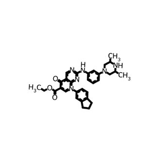 CCOC(=O)c1cn(-c2ccc3c(c2)CCC3)c2nc(Nc3cccc(N4CC(C)NC(C)C4)c3)ncc2c1=O